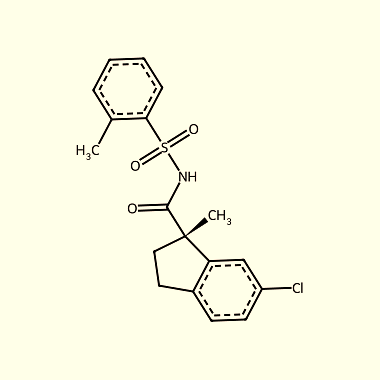 Cc1ccccc1S(=O)(=O)NC(=O)[C@@]1(C)CCc2ccc(Cl)cc21